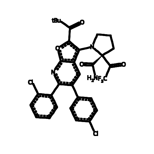 CC(C)(C)C(=O)c1oc2nc(-c3ccccc3Cl)c(-c3ccc(Cl)cc3)cc2c1N1CCC[C@@]1(C(N)=O)C(=O)C(F)(F)F